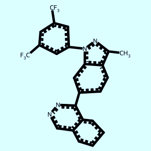 Cc1nn(-c2cc(C(F)(F)F)cc(C(F)(F)F)c2)c2cc(-c3nncc4ccccc34)ccc12